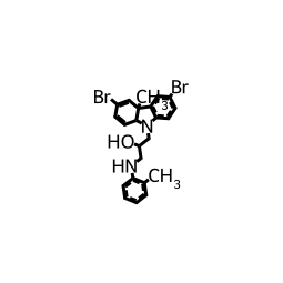 Cc1ccccc1NCC(O)CN1c2ccc(Br)cc2C2(C)C=C(Br)C=CC12